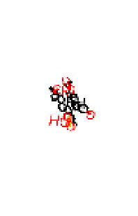 C#CC1(O)CCC2C3CCc4cc(CC(C)S(=O)(=O)O)ccc4C3CC[C@@]21C.C#CC1(OC(C)=O)CC[C@H]2[C@@H]3CCC4=CC(=O)CC[C@@H]4[C@H]3CC[C@@]21C